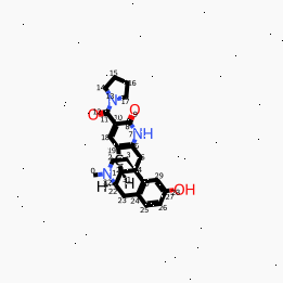 CN1CC[C@]23Cc4[nH]c(=O)c(C(=O)N5CCCC5)cc4C[C@H]2[C@H]1Cc1ccc(O)cc13